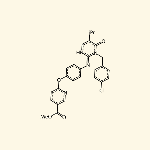 COC(=O)c1ccc(Oc2ccc(/N=c3\[nH]cc(C(C)C)c(=O)n3Cc3ccc(Cl)cc3)cc2)nc1